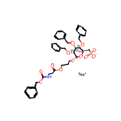 O=C(CCNC(=O)OCc1ccccc1)OCCCO[C@H]1O[C@H](CS(=O)(=O)[O-])[C@@H](OCc2ccccc2)[C@H](OCc2ccccc2)[C@H]1OCc1ccccc1.[Na+]